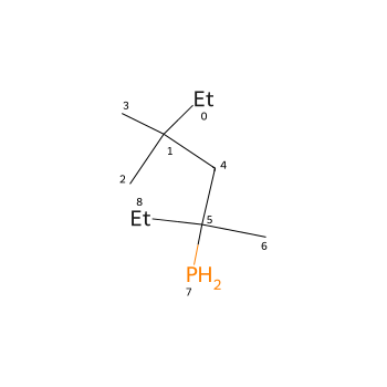 CCC(C)(C)CC(C)(P)CC